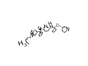 CCCn1cc(S(=O)(=O)c2ccc(NC(=O)C3CC3c3cccnc3)nc2)cn1